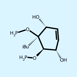 CCC(C)[C@]1(OP)[C@H](O)C=C[C@H](O)[C@H]1OP